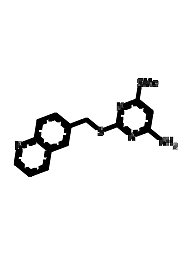 CSc1cc(N)nc(SCc2ccc3ncccc3c2)n1